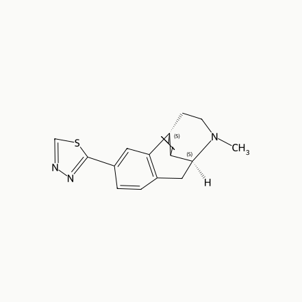 CN1CC[C@@]23CCCCC2[C@@H]1Cc1ccc(-c2nncs2)cc13